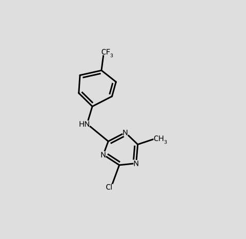 Cc1nc(Cl)nc(Nc2ccc(C(F)(F)F)cc2)n1